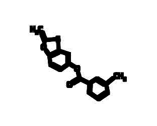 C=C1Oc2ccc(OC(=O)c3cccc(C)c3)cc2S1